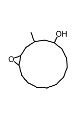 CC1CC(O)CCCCCCCCCC2OC2C1